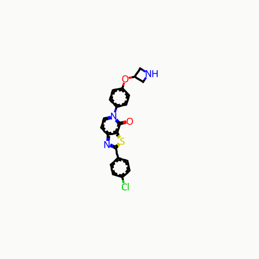 O=c1c2sc(-c3ccc(Cl)cc3)nc2ccn1-c1ccc(OC2CNC2)cc1